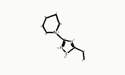 CCc1nc(N2CCCCC2)ns1